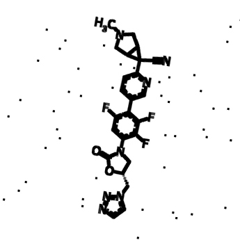 CN1CC2C(C1)C2(C#N)c1ccc(-c2c(F)cc(N3C[C@H](Cn4ccnn4)OC3=O)c(F)c2F)cn1